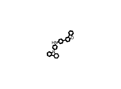 c1ccc2c(c1)C1CCCCC1N2c1ccc(Nc2ccc(-c3ccc4oc5ccccc5c4c3)cc2)cc1